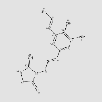 CCCc1cc(C=CCN2C(=O)CSC2C#N)cc(C=CC(C)C)c1O